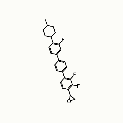 CC1CCC(c2ccc(-c3ccc(-c4ccc(C5CO5)c(F)c4F)cc3)cc2F)CC1